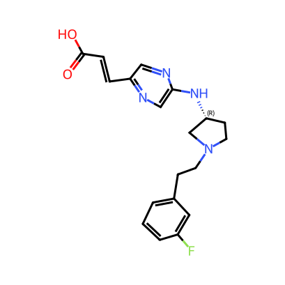 O=C(O)C=Cc1cnc(N[C@@H]2CCN(CCc3cccc(F)c3)C2)cn1